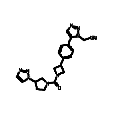 CC(C)(C)Cn1nncc1-c1ccc(C2CN(C(=O)N3CCC(n4ccnn4)C3)C2)cc1